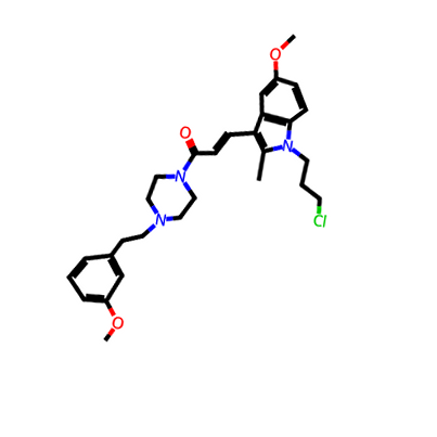 COc1cccc(CCN2CCN(C(=O)C=Cc3c(C)n(CCCCl)c4ccc(OC)cc34)CC2)c1